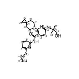 CC(C)(C)NSc1cccc(NC(=O)c2ccc(NC(C)(C)CO)nc2N2CCC3(CC2)CC3)n1